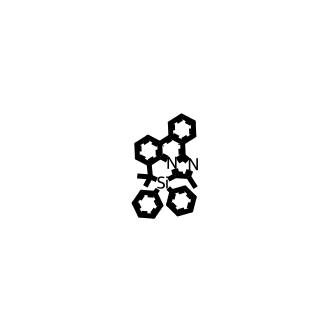 Cc1nc2c3ccccc3c3cccc4c3n2c1[Si](c1ccccc1)(c1ccccc1)C4(C)C